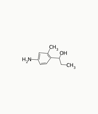 CCC(O)c1ccc(N)cc1C